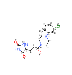 O=C1NC(=O)C(CCC(=O)N2CCN3c4cc(Cl)ccc4CC3C2)N1